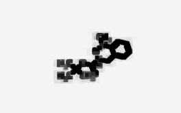 C[S+]([O-])c1ccccc1CNC(=O)OC(C)(C)C